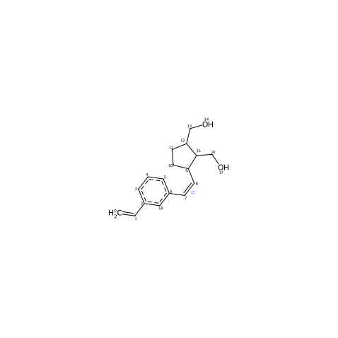 C=Cc1cccc(/C=C\C2CCC(CO)C2CO)c1